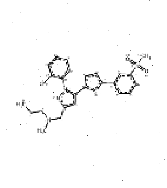 CCCN(C)Cc1cc(-c2ccc(-c3cccc(S(C)(=O)=O)c3)s2)n(-c2ccccc2Cl)n1